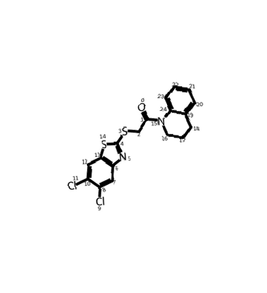 O=C(CSc1nc2cc(Cl)c(Cl)cc2s1)N1CCCc2ccccc21